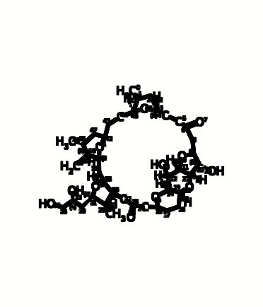 C=C1C[C@@H]2CCC(=O)CC3O[C@H]4[C@@H](O)[C@H]5OC(CC[C@@H]5O[C@H]4[C@H]3O)CC(=O)C[C@@H]3[C@@H](C)[C@@H](C[C@H](O)CO)O[C@H]3C[C@H]3OC(CC[C@@H]1O2)C[C@@H](C)C3=C